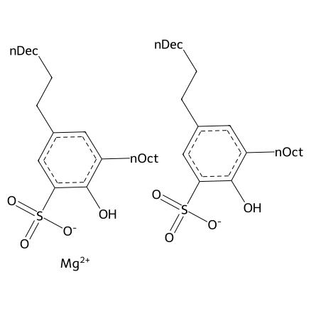 CCCCCCCCCCCCc1cc(CCCCCCCC)c(O)c(S(=O)(=O)[O-])c1.CCCCCCCCCCCCc1cc(CCCCCCCC)c(O)c(S(=O)(=O)[O-])c1.[Mg+2]